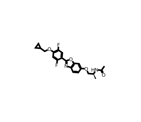 CC(=O)N[C@@H](C)COc1ccc2nc(-c3cc(F)c(OCC4CC4)cc3F)oc2c1